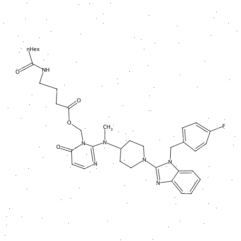 CCCCCCC(=O)NCCCC(=O)OCn1c(N(C)C2CCN(c3nc4ccccc4n3Cc3ccc(F)cc3)CC2)nccc1=O